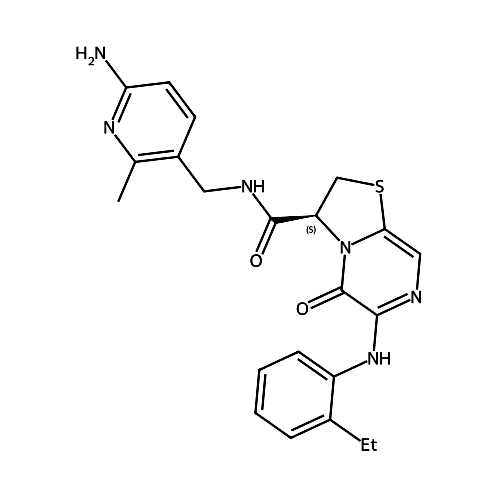 CCc1ccccc1Nc1ncc2n(c1=O)[C@@H](C(=O)NCc1ccc(N)nc1C)CS2